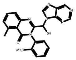 COc1ccccc1-n1c(C(S)n2cnc3cncnc32)nc2cccc(C)c2c1=O